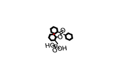 O=P(O)(O)Cc1ccccc1OP(=O)(c1ccccc1)c1ccccc1